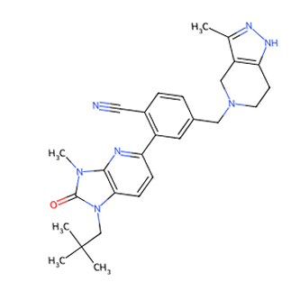 Cc1n[nH]c2c1CN(Cc1ccc(C#N)c(-c3ccc4c(n3)n(C)c(=O)n4CC(C)(C)C)c1)CC2